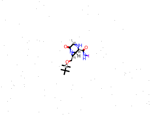 C[C@@H]1N[C@@H](C(=O)NI)[C@H]2[C@@H](CO[Si](C)(C)C(C)(C)C)N2C1=O